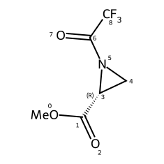 COC(=O)[C@H]1CN1C(=O)C(F)(F)F